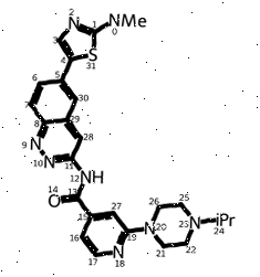 CNc1ncc(-c2ccc3nnc(NC(=O)c4ccnc(N5CCN(C(C)C)CC5)c4)cc3c2)s1